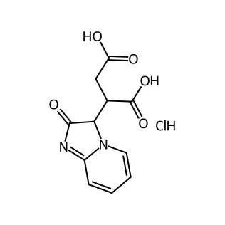 Cl.O=C(O)CC(C(=O)O)C1C(=O)N=C2C=CC=CN21